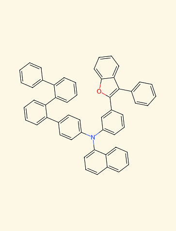 c1ccc(-c2ccccc2-c2ccccc2-c2ccc(N(c3cccc(-c4oc5ccccc5c4-c4ccccc4)c3)c3cccc4ccccc34)cc2)cc1